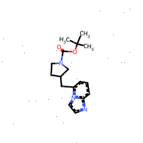 CC(C)(C)OC(=O)N1CCC(Cc2cccc3nccn23)C1